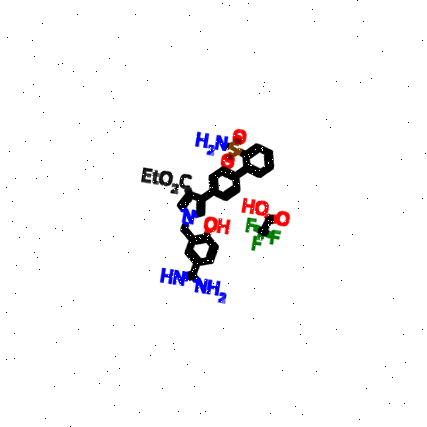 CCOC(=O)c1cn(Cc2cc(C(=N)N)ccc2O)cc1-c1ccc(-c2ccccc2S(N)(=O)=O)cc1.O=C(O)C(F)(F)F